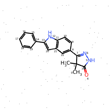 CC1(C)C(=O)NN=C1c1ccc2[nH]c(-c3ccccc3)cc2c1